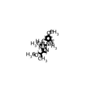 CCC(COC)c1cnn2c(Nc3c(C)cc(OC)cc3C)nc(C)nc12